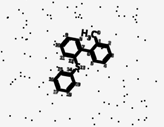 Cc1ccccc1-c1ccccc1Sc1ccccc1